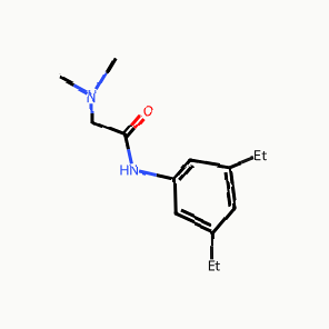 CCc1cc(CC)cc(NC(=O)CN(C)C)c1